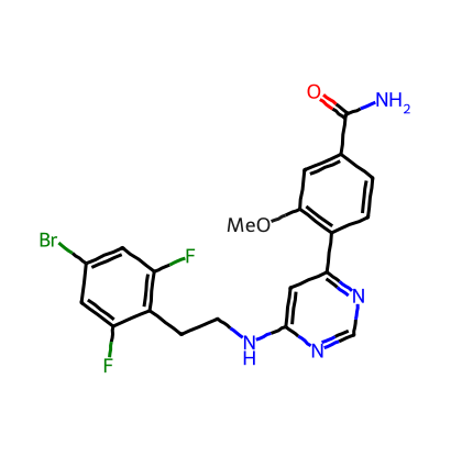 COc1cc(C(N)=O)ccc1-c1cc(NCCc2c(F)cc(Br)cc2F)ncn1